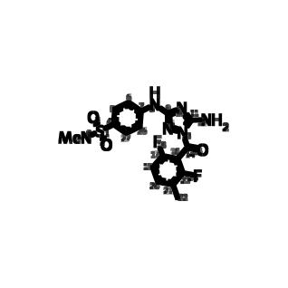 CNS(=O)(=O)c1ccc(Nc2nc(N)n(C(=O)c3c(F)ccc(C)c3F)n2)cc1